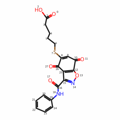 O=C(O)CCCCSC1=CC(=O)c2onc(C(=O)Nc3ccccc3)c2C1=O